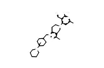 CNc1nc(C)cc(N2CCc3c(c(I)nn3CC34CCC(N5CCCCC5)(CC3)CO4)C2)c1C=N